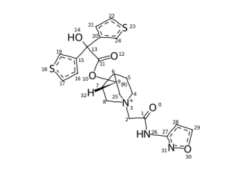 O=C(C[N+]12CCC(CC1)[C@@H](OC(=O)C(O)(c1ccsc1)c1ccsc1)C2)Nc1ccon1